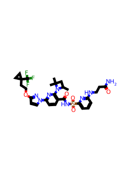 CC1CC(C)(C)N1c1nc(-n2ccc(OCCC3(C(F)(F)F)CC3)n2)ccc1C(=O)NS(=O)(=O)c1cccc(NCCC(N)=O)n1